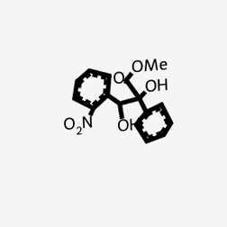 COC(=O)C(O)(c1ccccc1)C(O)c1ccccc1[N+](=O)[O-]